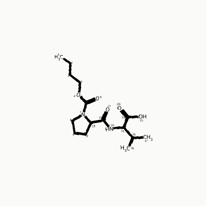 CCCCOC(=O)N1CCCC1C(=O)N[C]([C](C)C)C(=O)O